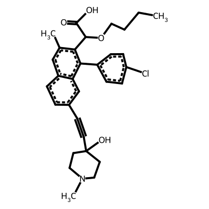 CCCCOC(C(=O)O)c1c(C)cc2ccc(C#CC3(O)CCN(C)CC3)cc2c1-c1ccc(Cl)cc1